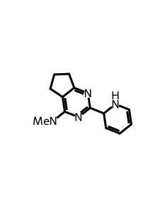 CNc1nc(C2C=CC=CN2)nc2c1CCC2